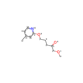 COCC(=O)CCCOc1cc(C)ccn1